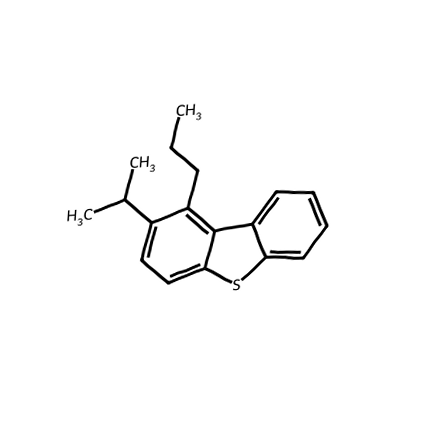 CCCc1c(C(C)C)ccc2sc3ccccc3c12